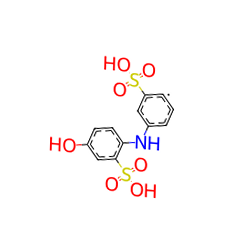 O=S(=O)(O)c1[c]ccc(Nc2ccc(O)cc2S(=O)(=O)O)c1